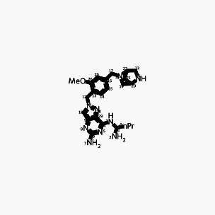 CCCC(N)Nc1nc(N)nc2cn(Cc3ccc(CN4CC5CC4CN5)cc3OC)nc12